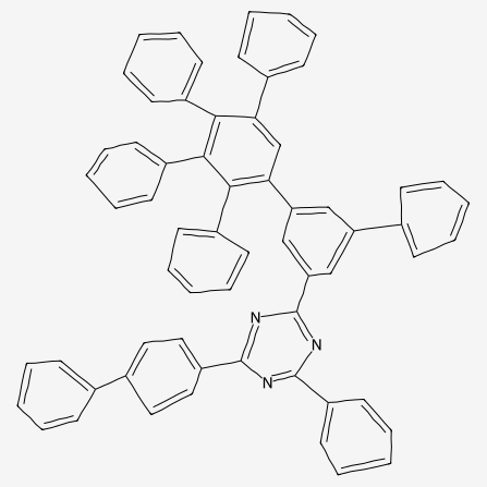 c1ccc(-c2ccc(-c3nc(-c4ccccc4)nc(-c4cc(-c5ccccc5)cc(-c5cc(-c6ccccc6)c(-c6ccccc6)c(-c6ccccc6)c5-c5ccccc5)c4)n3)cc2)cc1